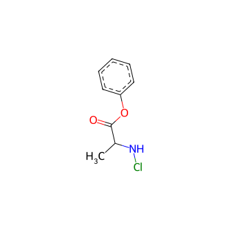 CC(NCl)C(=O)Oc1ccccc1